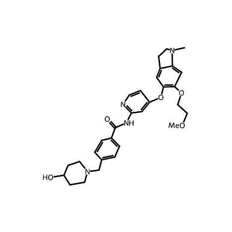 COCCOc1cc2c(cc1Oc1ccnc(NC(=O)c3ccc(CN4CCC(O)CC4)cc3)c1)CCN2C